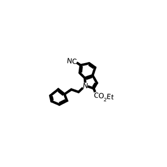 CCOC(=O)c1cc2ccc(C#N)cc2n1CCc1ccccc1